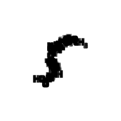 COc1ccc(Cn2nnc(C(COc3ccc4nc(NC5CN(C(=O)O)C5)ccc4c3)ON)n2)cc1